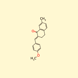 COc1ccc(/C=C2\CCc3ccc(C)cc3C2=O)cc1